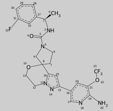 C[C@@H](NC(=O)N1CCC2(C1)OCCn1nc(-c3cnc(N)c(OC(F)(F)F)c3)cc12)c1cccc(F)c1